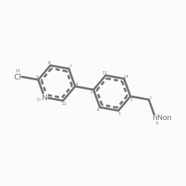 CCCCCCCCCCc1ccc(-c2ccc(Cl)nc2)cc1